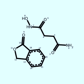 NC(=O)CCC(=O)NO.O=C1OCc2ccccc21